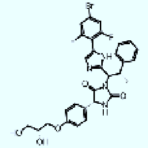 C[C@@H](c1ccccc1)C(c1ncc(-c2c(F)cc(Br)cc2F)[nH]1)N1C(=O)N[C@H](c2ccc(OC[C@H](O)CO)cc2)C1=O